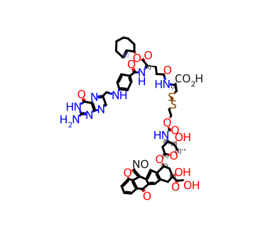 C[C@@H]1O[C@@H](O[C@H]2C[C@](O)(C(=O)CO)Cc3cc4c(cc32)-c2c(N=O)oc3cccc(c23)C4=O)C[C@@H](NC(=O)OCCSSC[C@@H](NC(=O)CC[C@@H](NC(=O)c2ccc(NCc3cnc4nc(N)[nH]c(=O)c4n3)cc2)C(=O)OC2/C=C/CCCCC2)C(=O)O)[C@@H]1O